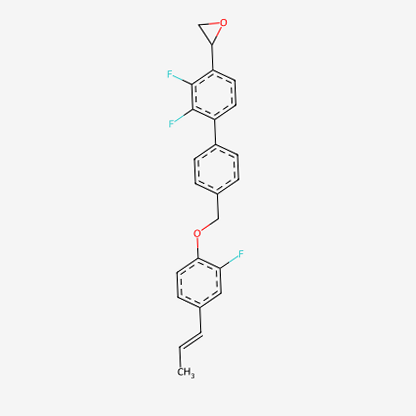 C/C=C/c1ccc(OCc2ccc(-c3ccc(C4CO4)c(F)c3F)cc2)c(F)c1